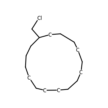 ClCC1CCCCCCCCCCCCCCC1